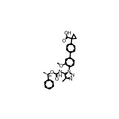 COc1cc(-c2ccc(C3(C(=O)O)CC3)cc2)ccc1-n1nnc(C)c1NC(=O)O[C@H](C)c1ccccc1